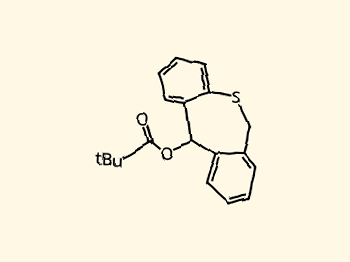 CC(C)(C)C(=O)OC1c2ccccc2CSc2ccccc21